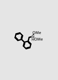 CO[SiH](Cc1ccccc1-c1ccccc1)OC